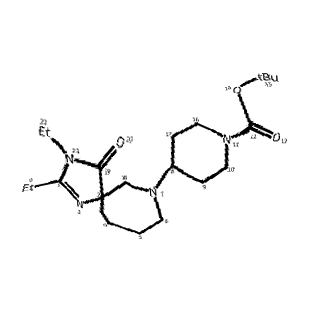 CCC1=NC2(CCCN(C3CCN(C(=O)OC(C)(C)C)CC3)C2)C(=O)N1CC